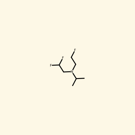 CC(C)N(CCF)CC(F)F